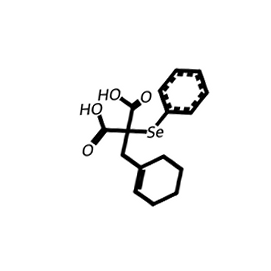 O=C(O)C(CC1=CCCCC1)([Se]c1ccccc1)C(=O)O